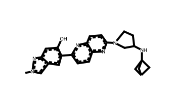 Cn1cc2cc(-c3ccc4nc(N5CCC(NC67CC(C6)C7)C5)ccc4n3)c(O)cc2n1